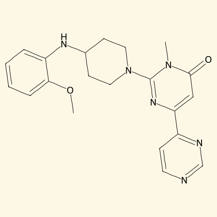 COc1ccccc1NC1CCN(c2nc(-c3ccncn3)cc(=O)n2C)CC1